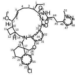 CC[C@@H]1CC/C=C/[C@H](OC)[C@@H]2CC[C@H]2CN2C[C@@]3(CCCc4cc(Cl)ccc43)COc3ccc(cc32)C(=O)N=[S@@]1(=O)NC(=O)CCc1ccnn1C